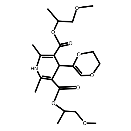 COCC(C)OC(=O)C1=C(C)NC(C)=C(C(=O)OC(C)COC)C1C1=COCCO1